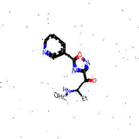 CCC(NC=O)C(=O)c1noc(-c2cccnc2)n1